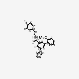 COc1cccnc1-c1cc(C(=O)NCCc2ccc(F)cc2)cc(-n2cnnn2)c1